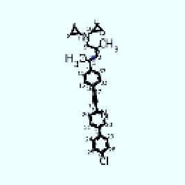 C/C(=C\[C@@H](C)CN(C1CC1)C1CC1)c1ccc(C#Cc2ccc(-c3ccc(Cl)cc3)cn2)cc1